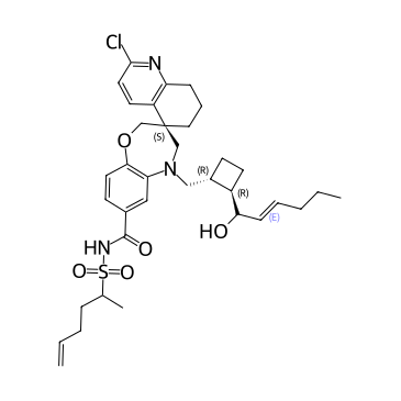 C=CCCC(C)S(=O)(=O)NC(=O)c1ccc2c(c1)N(C[C@@H]1CC[C@H]1C(O)/C=C/CCC)C[C@@]1(CCCc3nc(Cl)ccc31)CO2